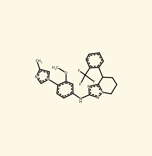 COc1cc(Nc2nc3n(n2)CCCC3c2ccccc2C(F)(F)F)ccc1-n1cnc(C)c1